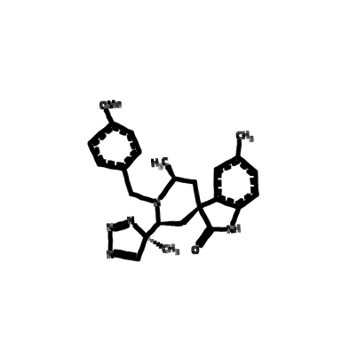 COc1ccc(CN2[C@H]([C@@]3(C)C=NN=N3)C[C@]3(C[C@@H]2C)C(=O)Nc2ccc(C)cc23)cc1